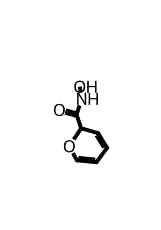 O=C(NO)C1C=CC=CO1